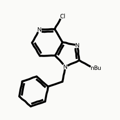 CCCCc1nc2c(Cl)nccc2n1Cc1ccccc1